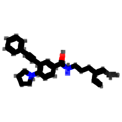 C=C/C(=C\NC)CCCNC(=O)c1ccc(N2CCCC2)c(C#Cc2ccccc2)c1